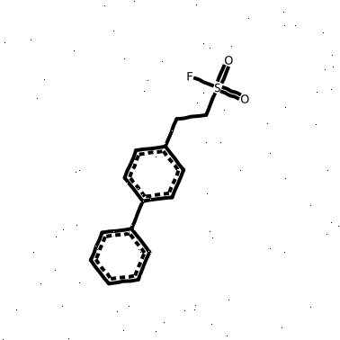 O=S(=O)(F)CCc1ccc(-c2ccccc2)cc1